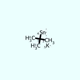 C[C](C)(C)[Sn].[K]